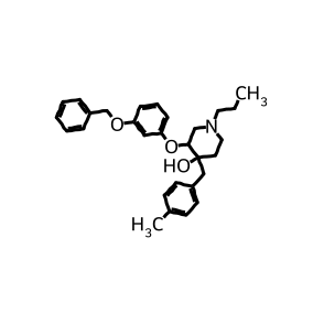 CCCN1CCC(O)(Cc2ccc(C)cc2)C(Oc2cccc(OCc3ccccc3)c2)C1